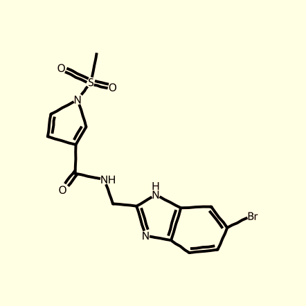 CS(=O)(=O)n1ccc(C(=O)NCc2nc3ccc(Br)cc3[nH]2)c1